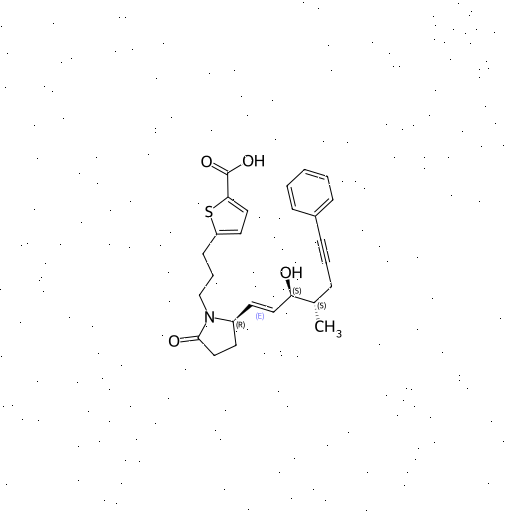 C[C@@H](CC#Cc1ccccc1)[C@H](O)/C=C/[C@H]1CCC(=O)N1CCCc1ccc(C(=O)O)s1